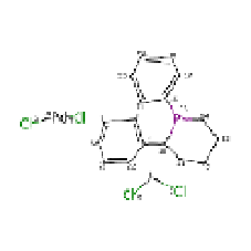 ClCCl.[Cl][Pd][Cl].c1ccc(C2CCCCP2c2ccccc2)cc1